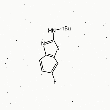 CCCCNc1nc2ccc(F)cc2s1